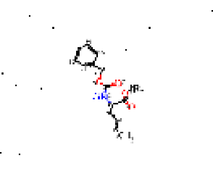 CC=CCC(NC(=O)OCc1ccccc1)C(=O)OC(C)(C)C